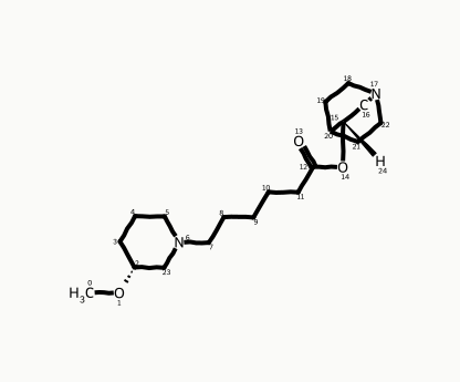 CO[C@@H]1CCCN(CCCCCC(=O)O[C@H]2CN3CCC2CC3)C1